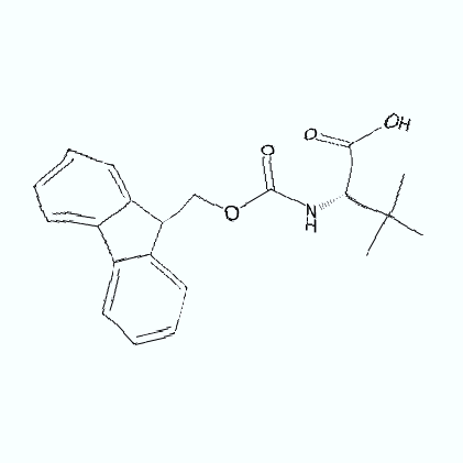 CC(C)(C)[C@H](NC(=O)OCC1c2ccccc2-c2ccccc21)C(=O)O